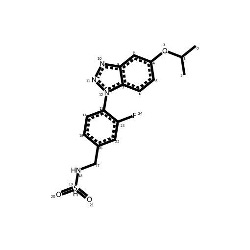 CC(C)Oc1ccc2c(c1)nnn2-c1ccc(CN[SH](=O)=O)cc1F